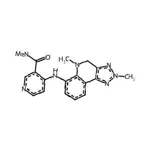 CNC(=O)c1cnccc1Nc1cccc2c1N(C)Cc1nn(C)nc1-2